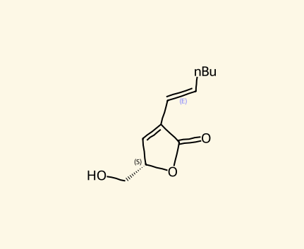 CCCC/C=C/C1=C[C@@H](CO)OC1=O